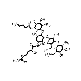 N=C(N)NCC[C@H](O)C(=O)N[C@@H]1C[C@H](N)[C@@H](O[C@H]2O[C@H](CNCCCN)[C@@H](O)[C@H](O)[C@H]2N)[C@H](O[C@@H]2O[C@H](CO)[C@@H](O[C@H]3O[C@@H](CN)[C@@H](O)[C@H](O)[C@H]3N)[C@H]2O)[C@H]1O